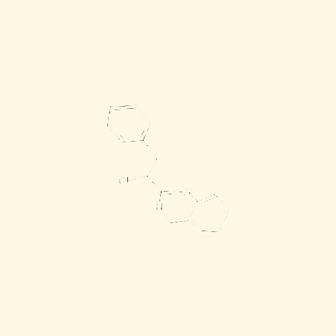 ClC(Cc1ccccc1)c1ncc2ccccc2n1